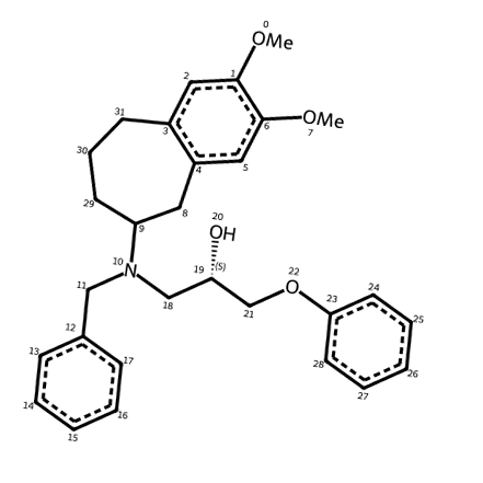 COc1cc2c(cc1OC)CC(N(Cc1ccccc1)C[C@H](O)COc1ccccc1)CCC2